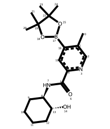 Cc1cnc(C(=O)N[C@@H]2CCCC[C@H]2O)cc1B1OC(C)(C)C(C)(C)O1